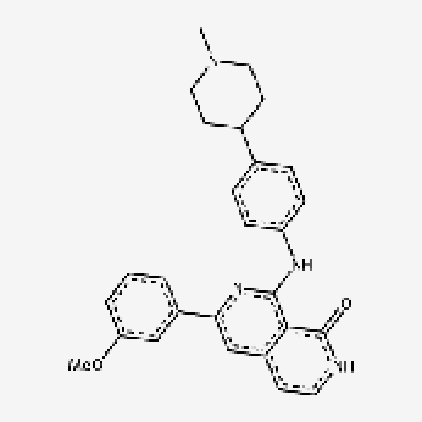 COc1cccc(-c2cc3cc[nH]c(=O)c3c(Nc3ccc(C4CCN(C)CC4)cc3)n2)c1